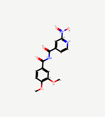 COc1ccc(C(=O)NC(=O)c2ccnc([N+](=O)[O-])c2)cc1OC